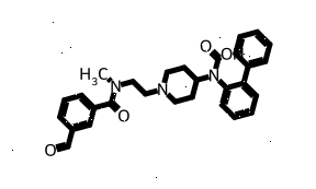 CN(CCN1CCC(N(C(=O)O)c2ccccc2-c2ccccc2)CC1)C(=O)c1cccc(C=O)c1